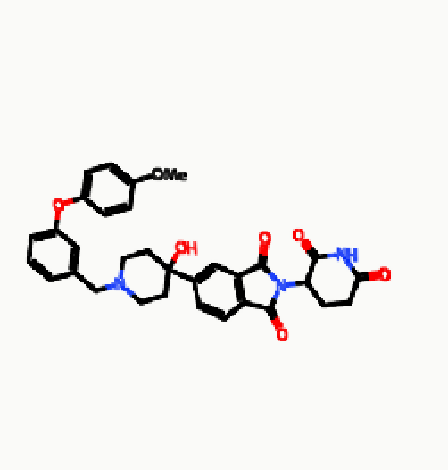 COc1ccc(Oc2cccc(CN3CCC(O)(c4ccc5c(c4)C(=O)N(C4CCC(=O)NC4=O)C5=O)CC3)c2)cc1